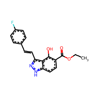 CCOC(=O)c1ccc2[nH]nc(C=Cc3ccc(F)cc3)c2c1O